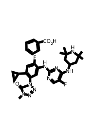 Cn1nnn(-c2cc(Nc3ncc(F)c(NC4CC(C)(C)NC(C)(C)C4)n3)c(F)cc2C2CC2)c1=O.O=C(O)c1ccccc1